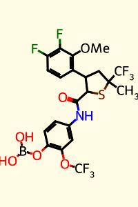 COc1c(C2CC(C)(C(F)(F)F)SC2C(=O)Nc2ccc(OB(O)O)c(OC(F)(F)F)c2)ccc(F)c1F